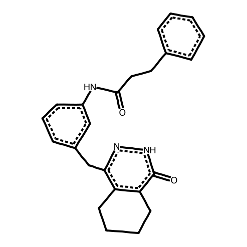 O=C(CCc1ccccc1)Nc1cccc(Cc2n[nH]c(=O)c3c2CCCC3)c1